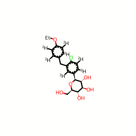 [2H]c1c([2H])c([C@@H]2O[C@H](CO)[C@@H](O)[C@H](O)[C@H]2O)c([2H])c(Cc2c([2H])c([2H])c(OCC)c([2H])c2[2H])c1Cl